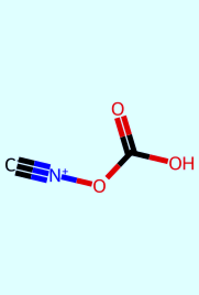 [C-]#[N+]OC(=O)O